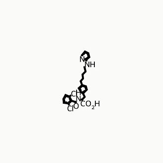 O=C(N[C@@H](Cc1ccc(CCCCCNc2ccccn2)cc1)C(=O)O)c1c(Cl)cccc1Cl